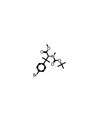 COC(=O)[C@@H](N(C)C(=O)OC(C)(C)C)C(C)(C)c1ccc(Br)cc1